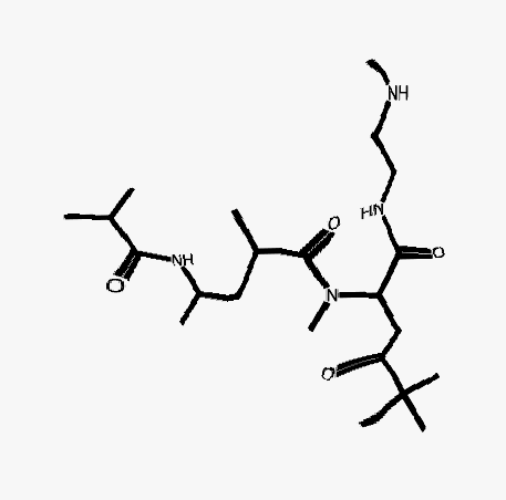 CNCCNC(=O)C(CC(=O)C(C)(C)C)N(C)C(=O)C(C)CC(C)NC(=O)C(C)C